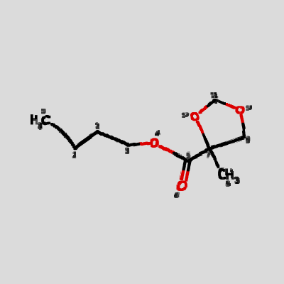 CCCCOC(=O)C1(C)CO[CH]O1